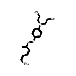 C=C(/C=C\C=C/NC)/N=N/c1ccc(N(CCO)CCO)cc1